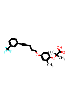 Cc1cc(OCCCC#Cc2cccc(C(F)(F)F)c2)ccc1OC(C)(C)C(=O)O